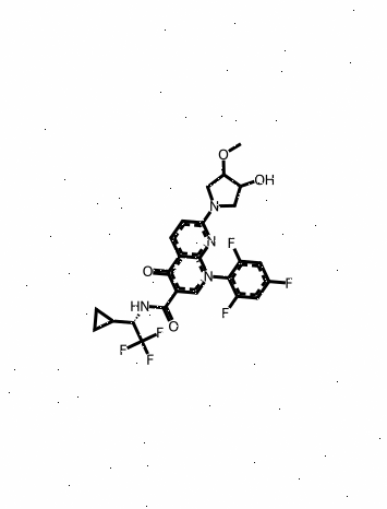 COC1CN(c2ccc3c(=O)c(C(=O)N[C@@H](C4CC4)C(F)(F)F)cn(-c4c(F)cc(F)cc4F)c3n2)CC1O